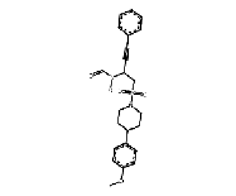 COc1ccc(C2CCN(S(=O)(=O)CC(C#Cc3ccccc3)N(O)C=O)CC2)cc1